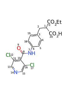 CCOC(=O)C(Cc1ccc(NC(=O)c2c(Cl)cncc2Cl)cc1)C(=O)O